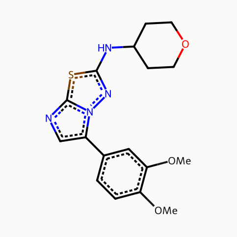 COc1ccc(-c2cnc3sc(NC4CCOCC4)nn23)cc1OC